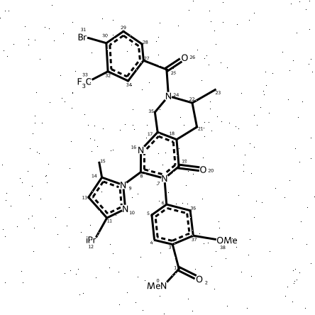 CNC(=O)c1ccc(-n2c(-n3nc(C(C)C)cc3C)nc3c(c2=O)CC(C)N(C(=O)c2ccc(Br)c(C(F)(F)F)c2)C3)cc1OC